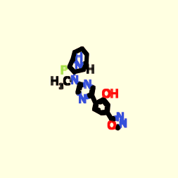 CN(c1cnc(-c2ccc(-c3nnco3)cc2O)cn1)[C@H]1C[C@@H]2CCCC(N2)[C@H]1F